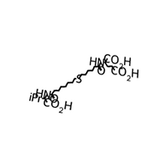 CC(C)C(NC(=O)CCCCCCCSCCCCCC(=O)NC(CCC(=O)O)C(=O)O)C(=O)O